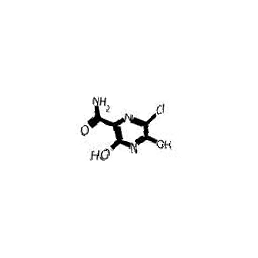 NC(=O)c1nc(Cl)c(O)nc1O